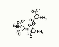 Nc1cc(C(=O)[O-])cc(C(=O)[O-])c1.Nc1cc(C(=O)[O-])cc(C(=O)[O-])c1.Nc1cc(C(=O)[O-])cc(C(=O)[O-])c1.[Nd+3].[Nd+3]